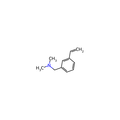 C=Cc1cccc(CN(C)C)c1